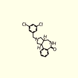 O=C1NC[C@H]2CN(Cc3cc(Cl)cc(Cl)c3)C[C@H]2c2ccccc21